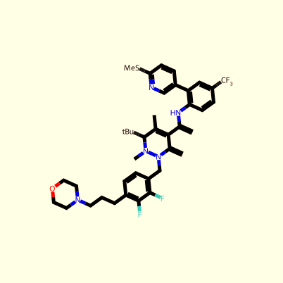 C=C(Nc1ccc(C(F)(F)F)cc1-c1ccc(SC)nc1)C1=C(C)C(C(C)(C)C)N(C)N(Cc2ccc(CCCN3CCOCC3)c(F)c2F)C1=C